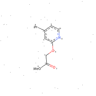 COC(=O)COc1cc(C(C)C)ccn1